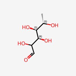 C[C@H](O)[C@H](O)[C@@H](O)C(O)C=O